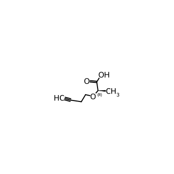 C#CCCO[C@H](C)C(=O)O